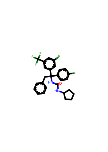 O=C(NC1CCCC1)NC(Cc1ccccc1)(c1ccc(F)cc1)c1cc(F)cc(C(F)(F)F)c1